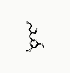 COc1cc(OC)nc(SC(C=O)CCBr)n1